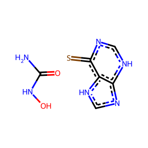 NC(=O)NO.S=c1nc[nH]c2nc[nH]c12